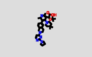 Cc1nc(C)c([C@H](OC(C)(C)C)C(=O)O)c(N2CCC(C)(C)CC2)c1-c1ccc2c(c1)CCN(c1ccnc(N3CCCC3)n1)C2